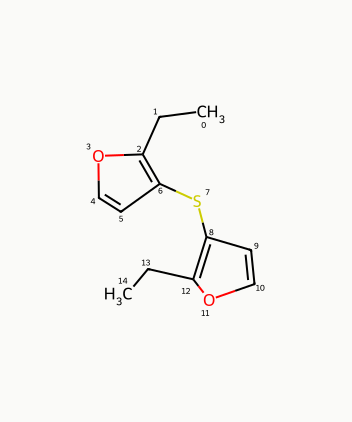 CCc1occc1Sc1ccoc1CC